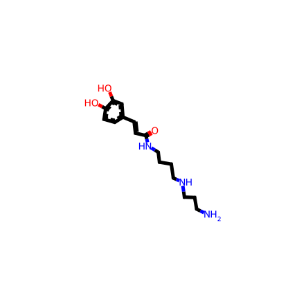 NCCCNCCCCNC(=O)/C=C/c1ccc(O)c(O)c1